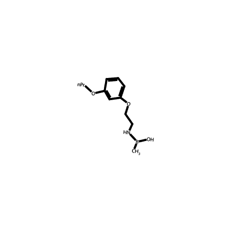 CCCOc1cccc(OCCNB(C)O)c1